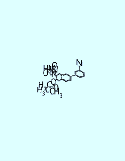 CC(C)(C)C(=O)Oc1cc2ccc(-c3cccc(C#N)c3)cc2cc1N1CC(=O)N[SH]1(=O)I